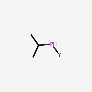 CC(C)[PH][Y]